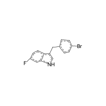 Fc1ccc2c(Cc3ccc(Br)cc3)c[nH]c2c1